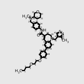 CCCCOCCOc1ccc(-c2ccc3c(c2)C=C(C(=O)Nc2ccc(CN(C)C4CCCOC4)cc2)CCN3Cc2csnc2C)cc1